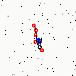 COCCOCCOCCNC(=O)[C@H](Cc1ccc(OC)cc1)N=S